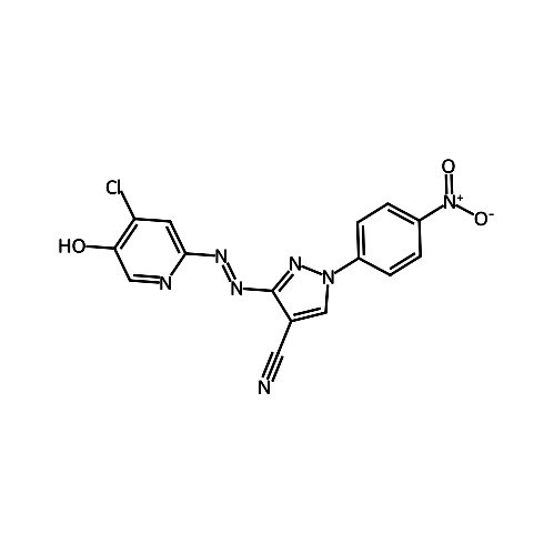 N#Cc1cn(-c2ccc([N+](=O)[O-])cc2)nc1N=Nc1cc(Cl)c(O)cn1